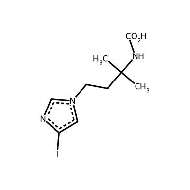 CC(C)(CCn1cnc(I)c1)NC(=O)O